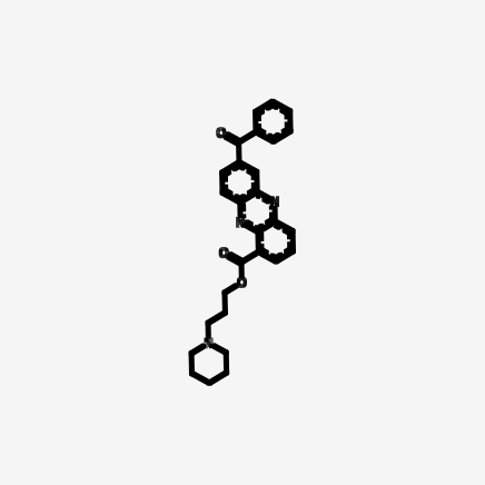 O=C(c1ccccc1)c1ccc2nc3c(C(=O)OCCCN4CCCCC4)cccc3nc2c1